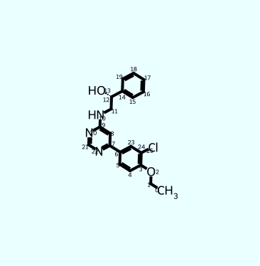 CCOc1ccc(-c2cc(NC[C@H](O)c3ccccc3)ncn2)cc1Cl